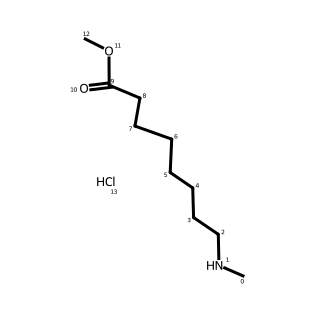 CNCCCCCCCC(=O)OC.Cl